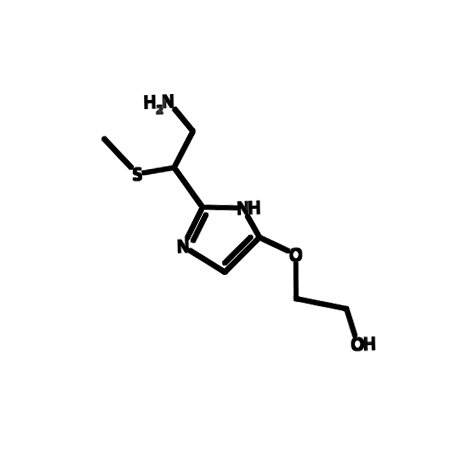 CSC(CN)c1ncc(OCCO)[nH]1